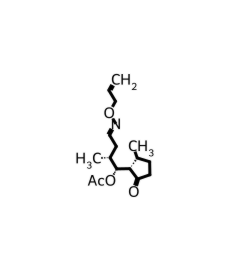 C=CCO/N=C/C[C@@H](C)[C@@H](OC(C)=O)[C@H]1C(=O)CCC1C